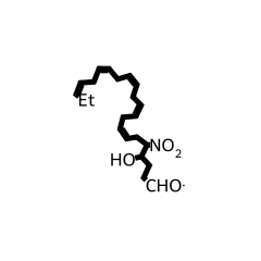 CC/C=C\C/C=C\C/C=C\C/C=C\C/C=C\CC(C(O)CC[C]=O)[N+](=O)[O-]